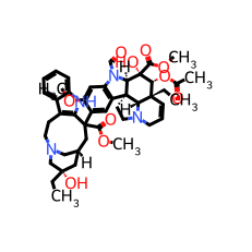 CC[C@]1(O)C[C@@H]2CN(CCc3c([nH]c4ccccc34)C(C(=O)OC)(c3cc4c(cc3OC)N(C=O)[C@H]3[C@@](O)(C(=O)OC)[C@H](OC(C)=O)[C@]5(CC)C=CCN6CC[C@]43[C@@H]65)C2)C1